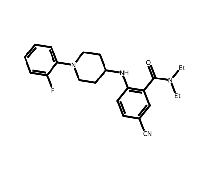 CCN(CC)C(=O)c1cc(C#N)ccc1NC1CCN(c2ccccc2F)CC1